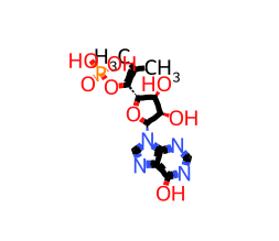 CC(C)=C(OP(=O)(O)O)[C@H]1O[C@@H](n2cnc3c(O)ncnc32)[C@H](O)[C@@H]1O